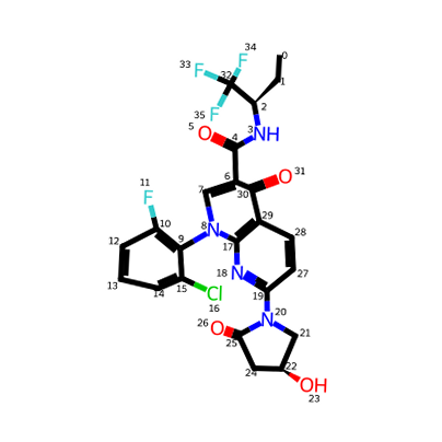 CC[C@@H](NC(=O)c1cn(-c2c(F)cccc2Cl)c2nc(N3C[C@@H](O)CC3=O)ccc2c1=O)C(F)(F)F